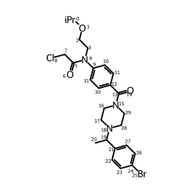 CC(C)OCCN(C(=O)CCl)c1ccc(C(=O)N2CCN(C(C)c3ccc(Br)cc3)CC2)cc1